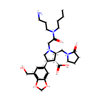 CCCCN(CCCN)C(=O)CN1C[C@H](c2cc(CO)c3c(c2)OCO3)[C@@H](C(=O)O)[C@@H]1CN1CCCC1=O